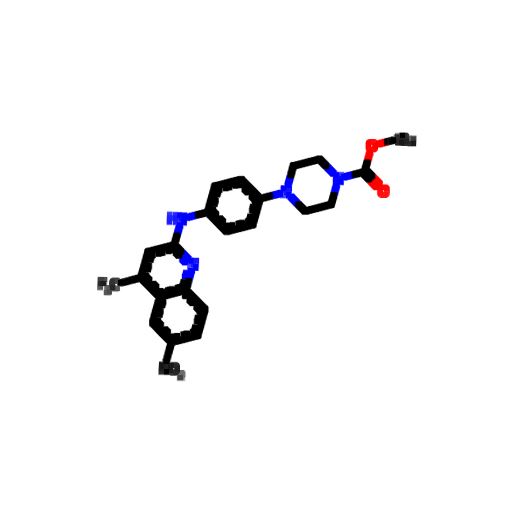 CC(C)(C)OC(=O)N1CCN(c2ccc(Nc3cc(C(F)(F)F)c4cc([N+](=O)[O-])ccc4n3)cc2)CC1